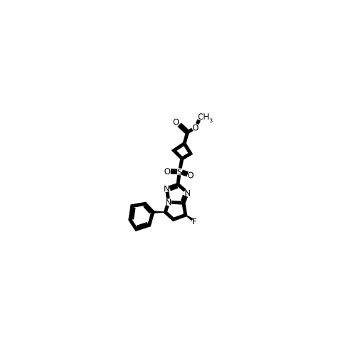 COC(=O)C1CC(S(=O)(=O)c2nc3n(n2)[C@H](c2ccccc2)C[C@@H]3F)C1